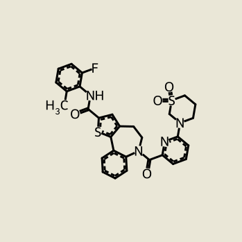 Cc1cccc(F)c1NC(=O)c1cc2c(s1)-c1ccccc1N(C(=O)c1cccc(N3CCCS(=O)(=O)C3)n1)CC2